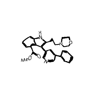 COC(=O)c1cccc2[nH]c(CCN3CCOCC3)c(-c3cncc(-c4ccccc4)c3)c12